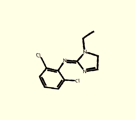 CCN1CC=NC1=Nc1c(Cl)cccc1Cl